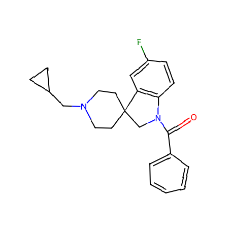 O=C(c1ccccc1)N1CC2(CCN(CC3CC3)CC2)c2cc(F)ccc21